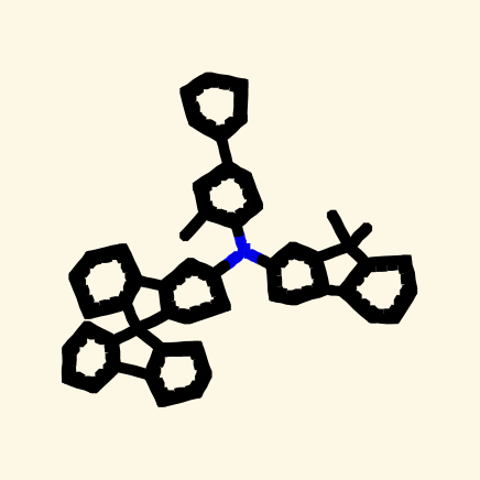 Cc1cc(-c2ccccc2)ccc1N(c1ccc2c(c1)-c1ccccc1C21c2ccccc2-c2ccccc21)c1ccc2c(c1)C(C)(C)c1ccccc1-2